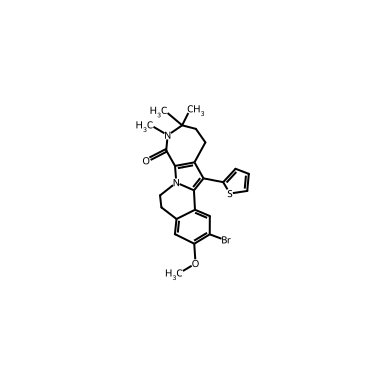 COc1cc2c(cc1Br)-c1c(-c3cccs3)c3c(n1CC2)C(=O)N(C)C(C)(C)CC3